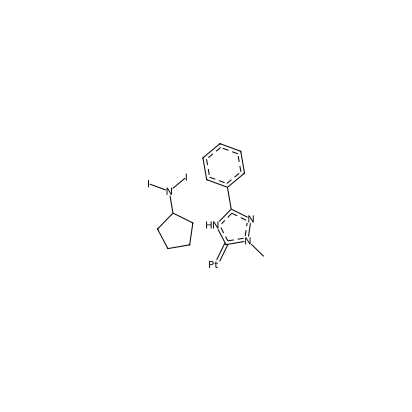 Cn1nc(-c2ccccc2)[nH][c]1=[Pt].IN(I)C1CCCC1